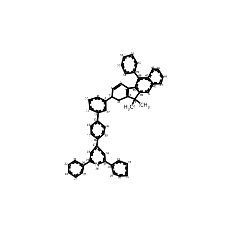 CC1(C)C2=C(C=CC(c3cccc(-c4ccc(-c5cc(-c6ccccc6)nc(-c6ccccc6)c5)cc4)c3)C2)c2c1cc1ccccc1c2-c1ccccc1